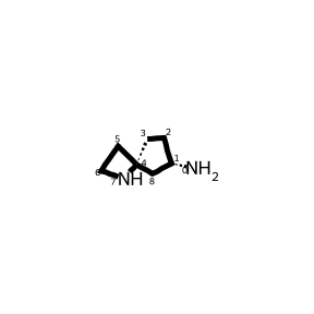 N[C@H]1CC[C@]2(CCN2)C1